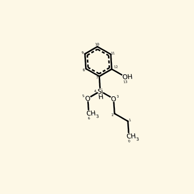 CCCO[SiH](OC)c1ccccc1O